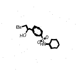 O=S(=O)(NC1CCCCC1)c1cccc(C(O)CBr)c1